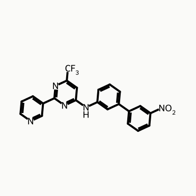 O=[N+]([O-])c1cccc(-c2cccc(Nc3cc(C(F)(F)F)nc(-c4cccnc4)n3)c2)c1